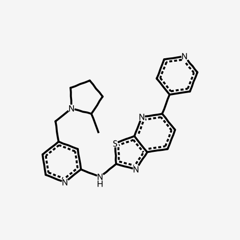 CC1CCCN1Cc1ccnc(Nc2nc3ccc(-c4ccncc4)nc3s2)c1